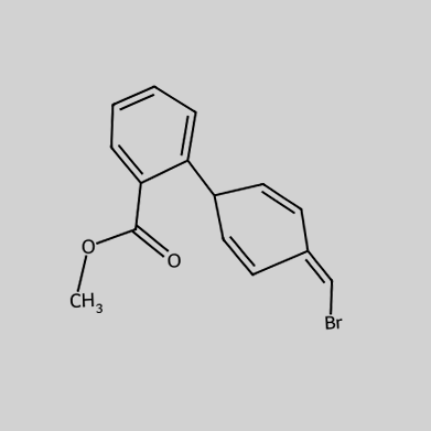 COC(=O)c1ccccc1C1C=CC(=CBr)C=C1